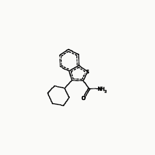 NC(=O)c1sc2ccccc2c1C1CCCCC1